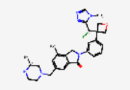 CC(C)[C@H]1CN(Cc2cc3c(c(C(F)(F)F)c2)CN(c2cccc(C4([C@@H](F)c5nncn5C)COC4)c2)C3=O)CCN1